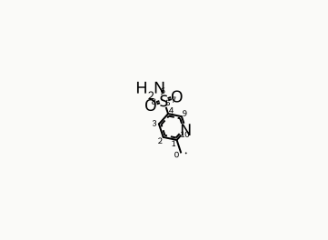 [CH2]c1ccc(S(N)(=O)=O)cn1